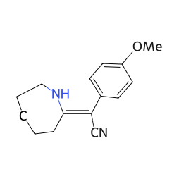 COc1ccc(C(C#N)=C2CCCCCN2)cc1